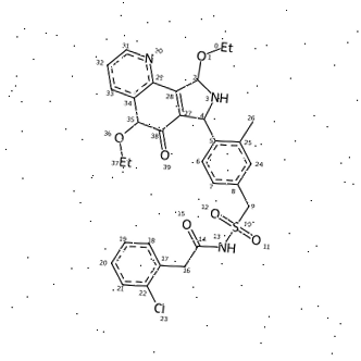 CCOC1NC(c2ccc(CS(=O)(=O)NC(=O)Cc3ccccc3Cl)cc2C)C2=C1c1ncccc1C(OCC)C2=O